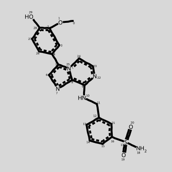 COc1cc(-c2cnc3c(NCc4cccc(S(N)(=O)=O)c4)nccn23)ccc1O